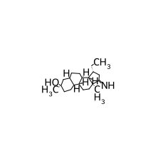 CC[C@@H]1CC(=N)[C@@]2(C)CC[C@H]3[C@@H](CC[C@@H]4C[C@](C)(O)CC[C@@H]43)[C@H]12